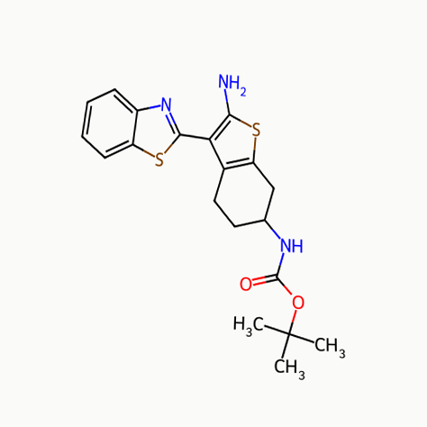 CC(C)(C)OC(=O)NC1CCc2c(sc(N)c2-c2nc3ccccc3s2)C1